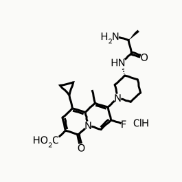 Cc1c(N2CCC[C@@H](NC(=O)[C@H](C)N)C2)c(F)cn2c(=O)c(C(=O)O)cc(C3CC3)c12.Cl